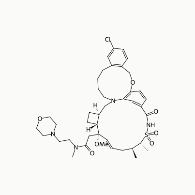 CO[C@@]1(CC(=O)N(C)CCN2CCOCC2)/C=C/C[C@H](C)[C@@H](C)S(=O)(=O)NC(=O)c2ccc3c(c2)N(CCCCc2cc(Cl)ccc2CO3)C[C@@H]2CC[C@H]21